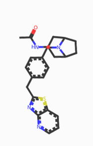 CC(=O)NC1CC2CCC(C1)N2Cc1ccc(Cc2nc3ncccc3s2)cc1